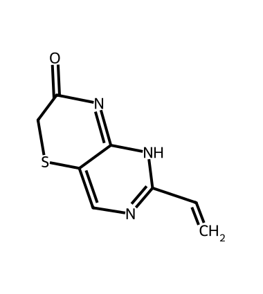 C=CC1=NC=C2SCC(=O)N=C2N1